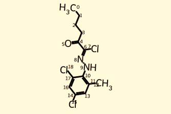 CCCCC(=O)C(Cl)=NNc1c(C)cc(Cl)cc1Cl